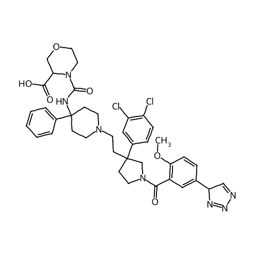 COc1ccc(C2C=NN=N2)cc1C(=O)N1CCC(CCN2CCC(NC(=O)N3CCOCC3C(=O)O)(c3ccccc3)CC2)(c2ccc(Cl)c(Cl)c2)C1